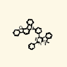 C[Si]1(C)c2ccccc2-c2c(-c3cccc(-n4c5ccccc5c5c6oc7ccccc7c6ccc54)c3)nc(-c3ccccc3)nc21